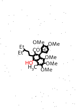 CCC(CC)CCc1c(C(=O)O)c(-c2ccc(OC)c(OC)c2)c2c(OC)c(OC)c(OC)c(C)c2c1O